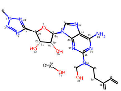 Cn1nnc([C@H]2O[C@@H](n3cnc4c(N)nc(N(CO)CCc5ccccc5)nc43)[C@H](O)[C@@H]2O)n1.O=CO